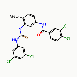 COc1ccc(NC(=O)c2ccc(Cl)c(Cl)c2)cc1NC(=S)Nc1cc(Cl)cc(Cl)c1